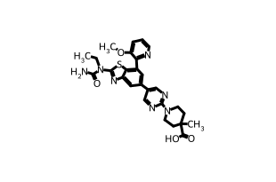 CCN(C(N)=O)c1nc2cc(-c3cnc(N4CCC(C)(C(=O)O)CC4)nc3)cc(-c3ncccc3OC)c2s1